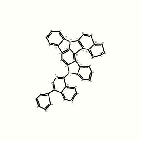 c1ccc(-c2nnc(-n3c4ccccc4c4c5c6c7ccccc7ccc6n6c7ccccc7c(cc43)c56)c3ccccc23)cc1